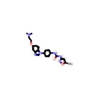 CN(C)CCOc1ccc2c(c1)ncn2-c1ccc(NC(=O)Nc2cc(C(C)(C)C)on2)cc1